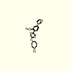 Oc1cc(-n2ccnc2)ccc1-c1ncc(OC2CCCNCC2)nn1